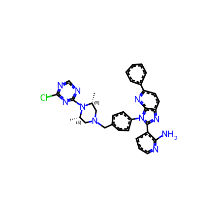 C[C@@H]1CN(Cc2ccc(-n3c(-c4cccnc4N)nc4ccc(-c5ccccc5)nc43)cc2)C[C@H](C)N1c1ncnc(Cl)n1